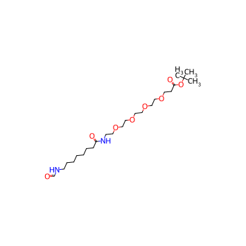 CC(C)(C)OC(=O)CCOCCOCCOCCOCCNC(=O)CCCCCCCNC=O